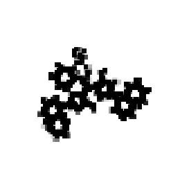 CC1=[C]([Zr+2]([C]2=C(C)C=C(c3cccc4ccccc34)C2)=[Si](C)c2ccccc2)CC(c2cccc3ccccc23)=C1.[Cl-].[Cl-]